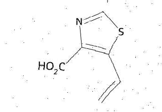 C=Cc1scnc1C(=O)O